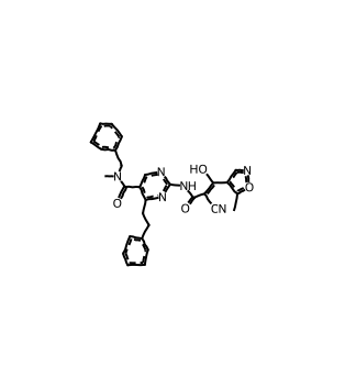 Cc1oncc1C(O)=C(C#N)C(=O)Nc1ncc(C(=O)N(C)Cc2ccccc2)c(CCc2ccccc2)n1